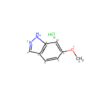 COc1ccc2cn[nH]c2c1.Cl